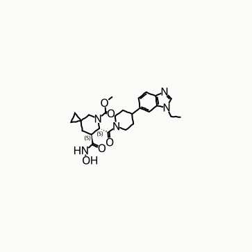 CCn1cnc2ccc(C3CCN(C(=O)[C@@H]4[C@@H](C(=O)NO)CC5(CC5)CN4C(=O)OC)CC3)cc21